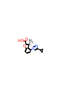 Cc1c(C(=O)O)oc2cccc(-n3cnc(C4CC4)c3)c12